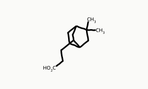 CC1(C)CC2CCC1CC2CCC(=O)O